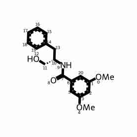 COc1cc(OC)cc(C(=O)N[C@H](CO)Cc2ccccc2)c1